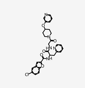 O=C(NC(Cc1ccccn1)C(=O)NCC(=O)N1CCC(Oc2cccnc2)CC1)c1cc2cc(Cl)ccc2o1